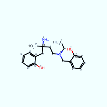 NC(CCN(CC(=O)O)Cc1ccccc1O)(Cc1ccccc1O)C(=O)O